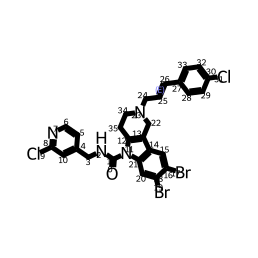 O=C(NCc1ccnc(Cl)c1)n1c2c(c3cc(Br)c(Br)cc31)CN(C/C=C/c1ccc(Cl)cc1)CC2